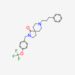 O=C1N(Cc2ccc(OC(F)(F)F)cc2)CCC12CCN(CCCc1ccccc1)CC2